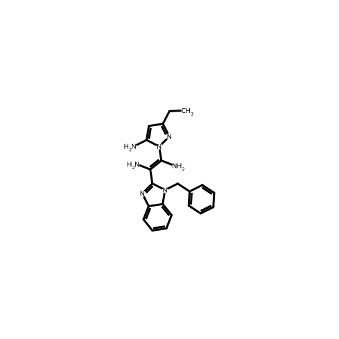 CCc1cc(N)n(/C(N)=C(\N)c2nc3ccccc3n2Cc2ccccc2)n1